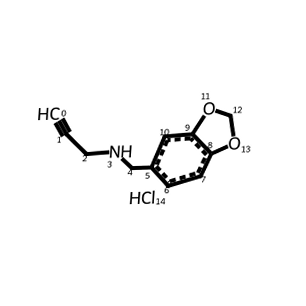 C#CCNCc1ccc2c(c1)OCO2.Cl